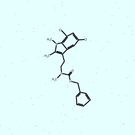 Cc1c(CCN(C)C(=O)OCc2ccccc2)c2cc(Cl)cc(Cl)c2n1C